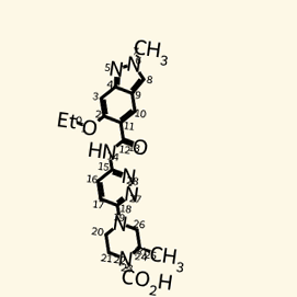 CCOc1cc2nn(C)cc2cc1C(=O)Nc1ccc(N2CCN(C(=O)O)[C@H](C)C2)nn1